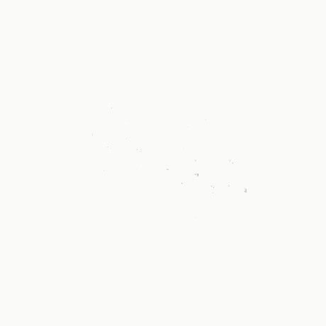 Cc1ccc(C(=O)Nc2cccc(Cl)c2Cl)cc1-c1nc(N)nc2ccccc12